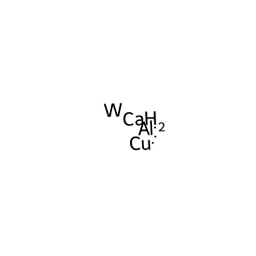 [Al].[CaH2].[Cu].[W]